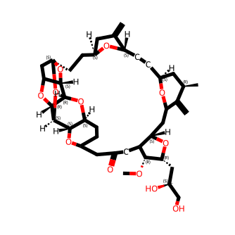 C=C1C2C[C@@H]3O[C@H](C[C@H](O)CO)[C@H](OC)C3CC(=O)CC3CC[C@@H]4O[C@@H]5[C@H]6OC7C[C@](CC[C@H]8CC(=C)[C@H](CC[C@@H](C[C@H]1C)O2)O8)(O[C@H]6[C@H]4O3)O[C@@H]75